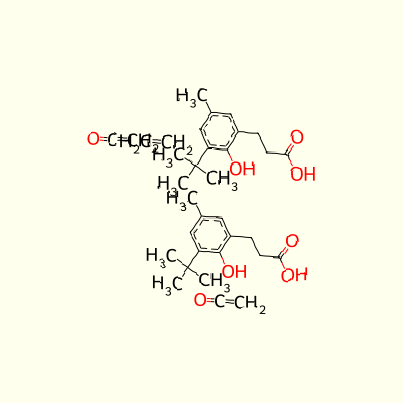 C=C.C=C=O.C=C=O.Cc1cc(CCC(=O)O)c(O)c(C(C)(C)C)c1.Cc1cc(CCC(=O)O)c(O)c(C(C)(C)C)c1